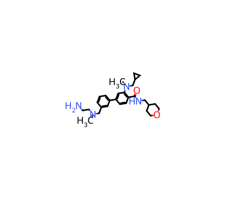 CN(CCN)Cc1cccc(-c2ccc(C(=O)NCC3CCOCC3)c(N(C)CC3CC3)c2)c1